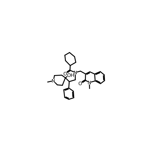 CN1CCC(O)(C(CN(Cc2cc3ccccc3n(C)c2=O)C(=O)C2CCCCC2)c2ccccc2)CC1